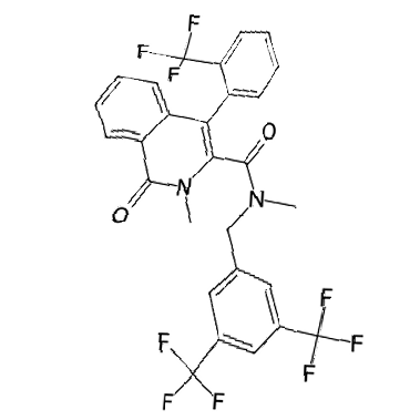 CN(Cc1cc(C(F)(F)F)cc(C(F)(F)F)c1)C(=O)c1c(-c2ccccc2C(F)(F)F)c2ccccc2c(=O)n1C